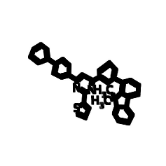 CC1(C)c2ccccc2-c2cccc(-c3cccc(-c4cc(-c5ccc(-c6ccccc6)cc5)nc(-c5cccs5)n4)c3)c21